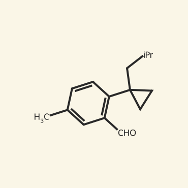 Cc1ccc(C2(CC(C)C)CC2)c(C=O)c1